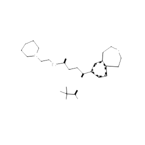 O=C(CCC(=O)c1ccc2c(c1)CCNCC2)NCCN1CCCCC1.O=C(O)C(F)(F)F